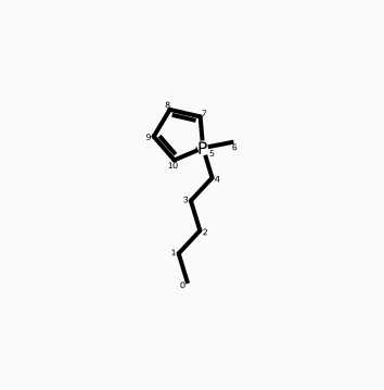 CCCCC[P]1(C)C=CC=C1